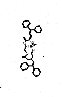 C=C(CC(C=C(c1ccccc1)c1ccccc1)CC=N)OCCOC(=C)/C(=C\C=C(c1ccccc1)c1ccccc1)[C@@H]1CN1